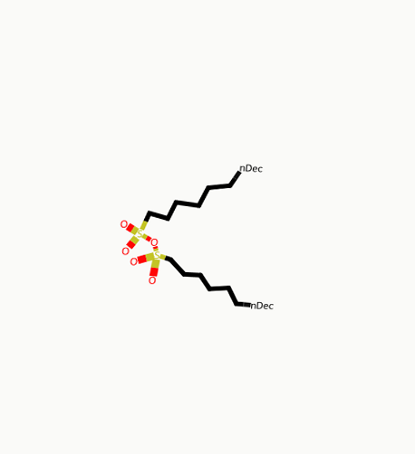 CCCCCCCCCCCCCCCCS(=O)(=O)OS(=O)(=O)CCCCCCCCCCCCCCCC